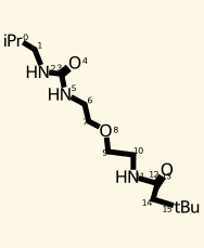 CC(C)CNC(=O)NCCOCCNC(=O)CC(C)(C)C